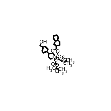 CC(C)(C)OC(=O)ON1CCC(c2ccc(CO)cc2)C(OC(OCOCC[Si](C)(C)C)c2ccc3ccccc3c2)C1